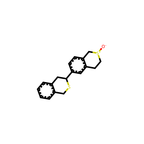 [O-][S+]1CCc2cc(C3Cc4ccccc4CS3)ccc2C1